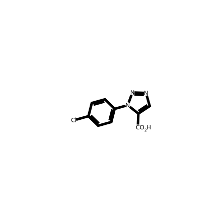 O=C(O)c1cnnn1-c1ccc(Cl)cc1